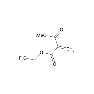 C=C(C(=O)OC)C(=O)OCC(F)(F)F